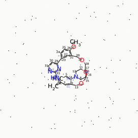 C=C1/C=C(\C(=C/C)N2CCOCC2)COC/C=C/COCc2cc(ccc2OC)-c2ccnc(n2)N1